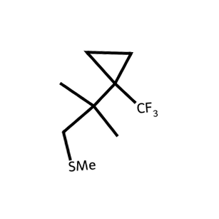 CSCC(C)(C)C1(C(F)(F)F)CC1